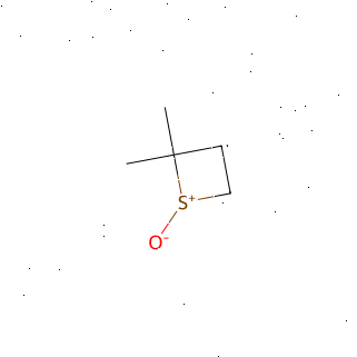 CC1(C)[CH]C[S+]1[O-]